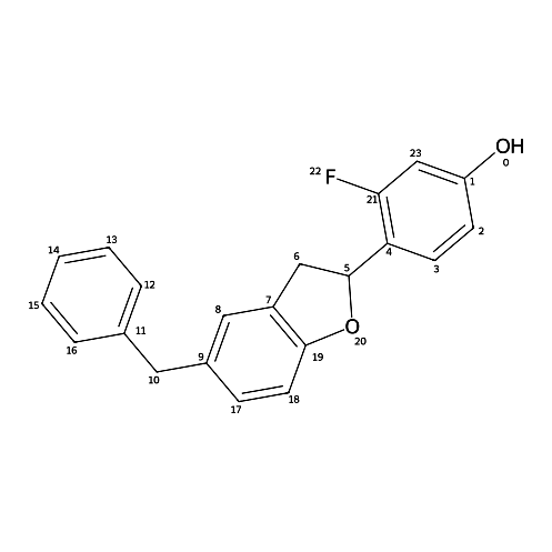 Oc1ccc(C2Cc3cc(Cc4ccccc4)ccc3O2)c(F)c1